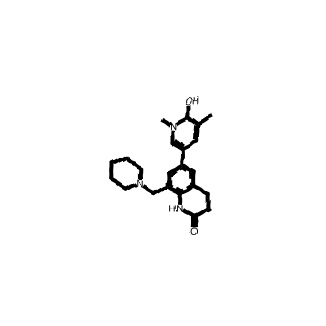 CC1=CC(c2cc3c(c(CN4CCCCC4)c2)NC(=O)CC3)=CN(C)C1O